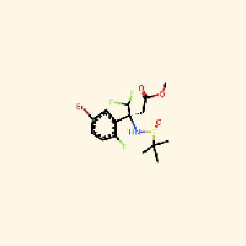 COC(=O)C[C@](N[S@@+]([O-])C(C)(C)C)(c1cc(Br)ccc1F)C(F)F